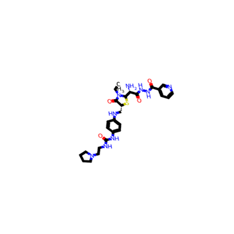 CCN1C(=O)[C@@H](CNc2ccc(NC(=O)NCCN3CCCC3)cc2)SC1[C@H](N)C(=O)NNC(=O)c1cccnc1